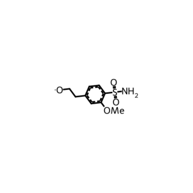 COc1cc(CC[O])ccc1S(N)(=O)=O